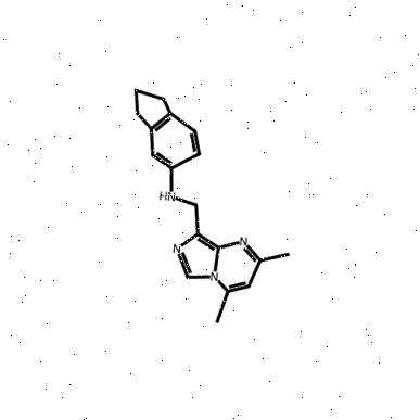 Cc1cc(C)n2cnc(CNc3ccc4c(c3)CCC4)c2n1